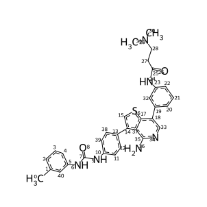 Cc1cccc(NC(=O)Nc2ccc(-c3csc4c(-c5cccc(NC(=O)CCN(C)C)c5)cnc(N)c34)cc2)c1